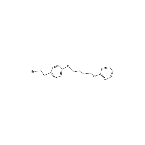 BrCCc1ccc(OCCCCOc2ccccc2)cc1